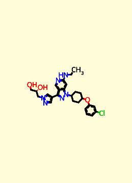 CCNc1cc2c(cn1)c(-c1cnn(C[C@@H](O)CO)c1)nn2C1CCC(Oc2cccc(Cl)c2)CC1